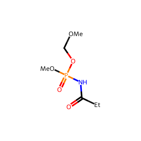 CCC(=O)NP(=O)(OC)OCOC